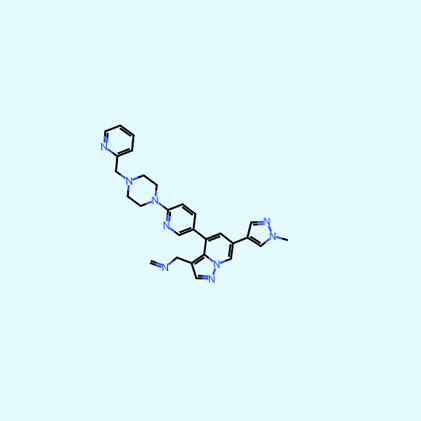 C=NCc1cnn2cc(-c3cnn(C)c3)cc(-c3ccc(N4CCN(Cc5ccccn5)CC4)nc3)c12